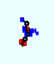 CC(C)S(=O)(=O)c1ccc(-c2cnc(N)c(-c3nnc(-c4cccc(C#N)c4)o3)n2)cc1